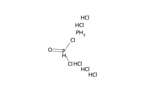 Cl.Cl.Cl.Cl.Cl.O=[PH](Cl)Cl.P